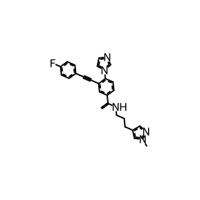 C=C(NCCCc1cnn(C)c1)c1ccc(-n2ccnc2)c(C#Cc2ccc(F)cc2)c1